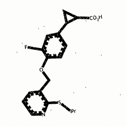 CC(C)Sc1ncccc1COc1ccc(C2CC2C(=O)O)cc1F